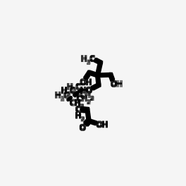 C=C.C=C.C=C.C=CC(=O)O.CCC(CO)(CO)CO